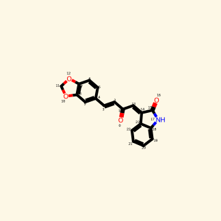 O=C(/C=C/c1ccc2c(c1)OCO2)/C=C1/C(=O)Nc2ccccc21